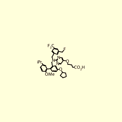 COc1ccc(C(C)C)cc1-c1ccc(OC2CCCC2)cc1CN(Cc1cc(CF)cc(C(F)(F)F)c1)c1ncc(OCCCC(=O)O)cn1